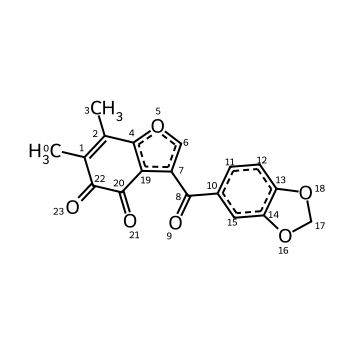 CC1=C(C)c2occ(C(=O)c3ccc4c(c3)OCO4)c2C(=O)C1=O